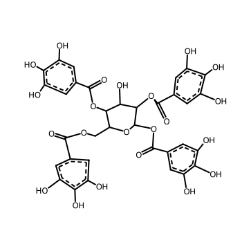 O=C(OCC1OC(OC(=O)c2cc(O)c(O)c(O)c2)C(OC(=O)c2cc(O)c(O)c(O)c2)C(O)C1OC(=O)c1cc(O)c(O)c(O)c1)c1cc(O)c(O)c(O)c1